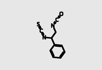 O=C=NCC(N=C=S)c1ccccc1